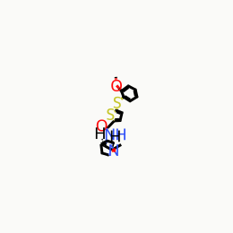 COc1ccccc1Sc1ccc(C(=O)N[C@@H]2C3CCN(CC3)[C@H]2C)s1